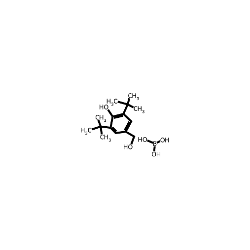 CC(C)(C)c1cc(CO)cc(C(C)(C)C)c1O.OB(O)O